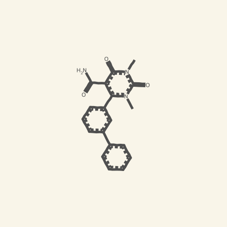 Cn1c(-c2cccc(-c3ccccc3)c2)c(C(N)=O)c(=O)n(C)c1=O